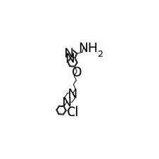 NCc1cnn2ccc(OCCCCN3CCN(c4ccccc4Cl)CC3)cc12